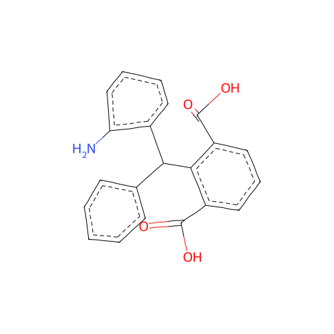 Nc1ccccc1C(c1ccccc1)c1c(C(=O)O)cccc1C(=O)O